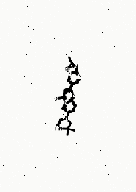 Cc1nc2ncc(-c3cc(=O)n4cc(N5CCNC(C)(C)C5)ccc4n3)cn2n1